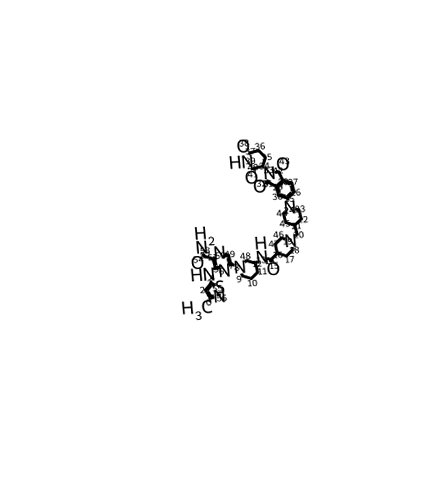 Cc1cc(Nc2nc(N3CCCC(NC(=O)C4CCN(CC5CCN(c6ccc7c(c6)C(=O)N(C6CCC(=O)NC6=O)C7=O)CC5)CC4)C3)cnc2C(N)=O)sn1